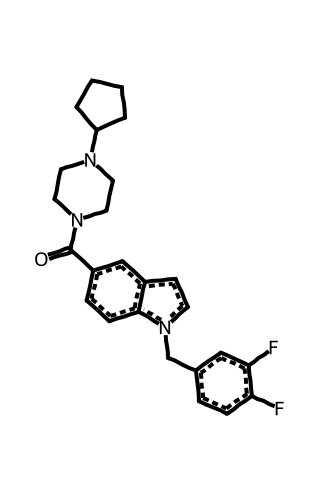 O=C(c1ccc2c(ccn2Cc2ccc(F)c(F)c2)c1)N1CCN(C2CCCC2)CC1